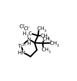 CC(C)(C)C1(C(C)(C)C)CC[NH][Ti+2][NH]1.[Cl-].[Cl-]